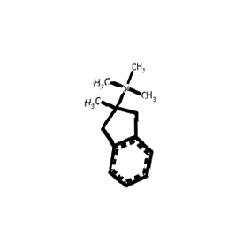 CC1([Si](C)(C)C)Cc2ccccc2C1